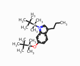 CCCc1cn([Si](C)(C)C(C)(C)C)c2cc(O[Si](C)(C)C(C)(C)C)ccc12